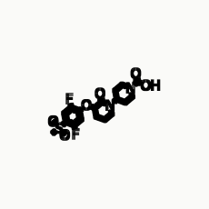 CS(=O)(=O)c1cc(F)c(OC2CCCN(C3CCN(C(=O)O)CC3)C2=O)cc1F